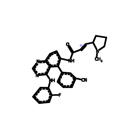 CN1CCCC1/C=C/C(=O)Nc1ccc2ncnc(Nc3ccccc3F)c2c1-c1cccc(C#N)c1